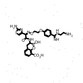 N=C(NCCN)c1ccc(OCCON=C(C(=O)NC2Cc3cccc(C(=O)O)c3OB2O)c2csc(N)n2)cc1